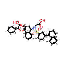 O=C(O)CN(c1ccc(OC(C(=O)O)c2ccccc2)c2ccccc12)S(=O)(=O)c1cccc(-c2cccc3ccccc23)c1